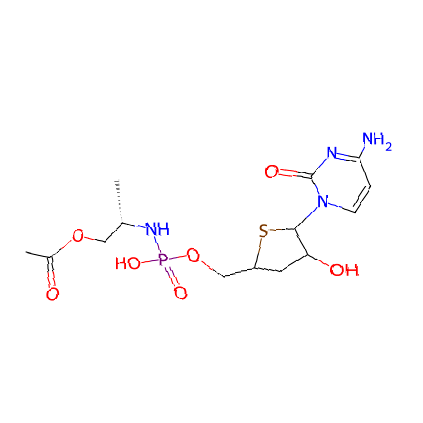 CC(=O)OC[C@H](C)NP(=O)(O)OCC1CC(O)C(n2ccc(N)nc2=O)S1